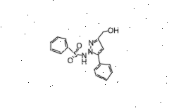 O=S(=O)(Nn1nc(CO)cc1-c1ccccc1)c1ccccc1